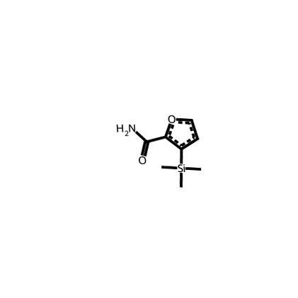 C[Si](C)(C)c1ccoc1C(N)=O